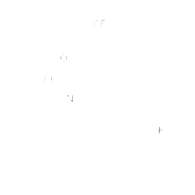 CCN(c1ccccc1)c1cc(F)ccc1C(=O)C(F)(F)F